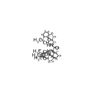 CC(C)c1cccc2c1OC(CNC(=O)Nc1cccc3c1CC(O[Si](C)(C)C(C)(C)C)CC3)CC2